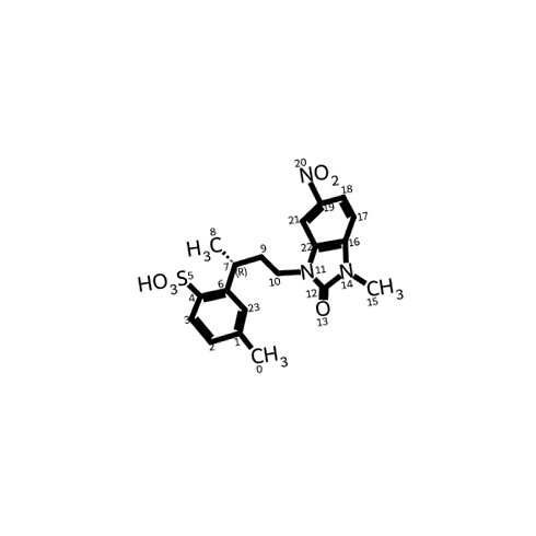 Cc1ccc(S(=O)(=O)O)c([C@H](C)CCn2c(=O)n(C)c3ccc([N+](=O)[O-])cc32)c1